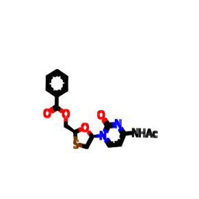 CC(=O)Nc1ccn([C@H]2CS[C@@H](COC(=O)c3ccccc3)O2)c(=O)n1